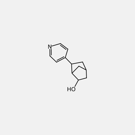 OC1CC2CC(c3ccncc3)C1C2